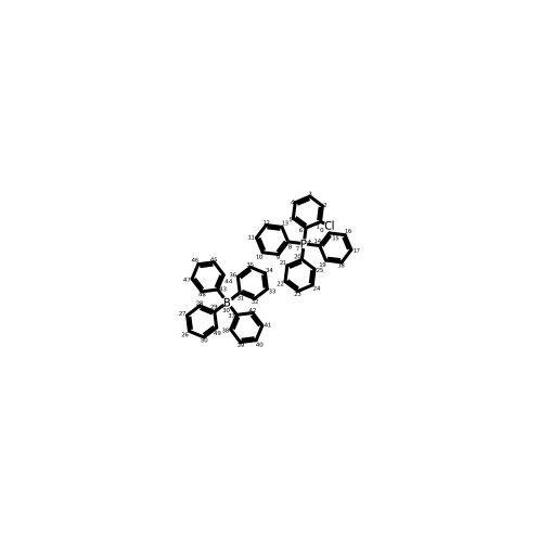 Clc1ccccc1[P+](c1ccccc1)(c1ccccc1)c1ccccc1.c1ccc([B-](c2ccccc2)(c2ccccc2)c2ccccc2)cc1